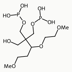 COCCOC(CCOC)C(CO)(COP(O)O)COP(O)O